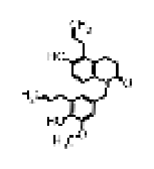 C=CCc1cc(CN2C(=O)CCc3c2ccc(O)c3CC=C)cc(OC)c1O